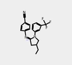 CCC1C/C(=N/c2ccc(C#N)cc2)N(c2cccc(C(F)(F)F)c2)C1